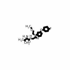 CCOCCn1c(CNC(=O)[C@@H](N)C(C)C)nc2ccc(Oc3ccc(F)cc3)cc21